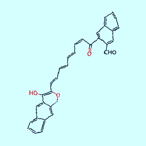 O=Cc1cc2ccccc2cc1C(=O)\C=C/C=C/C=C/C=C/C1=C(O)c2cc3ccccc3cc2CO1